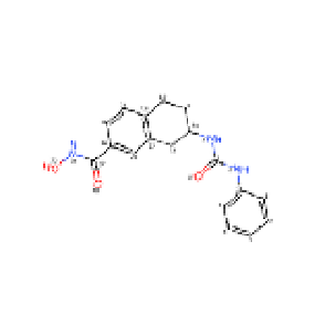 O=C(Nc1ccccc1)NC1CCc2ccc(C(=O)NO)cc2C1